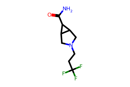 NC(=O)C1C2CN(CCC(F)(F)F)CC21